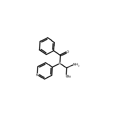 CC(C)(C)C(N)N(C(=O)c1ccccc1)c1ccncc1